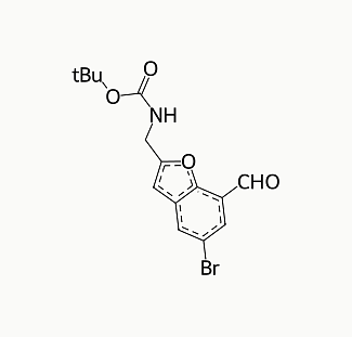 CC(C)(C)OC(=O)NCc1cc2cc(Br)cc(C=O)c2o1